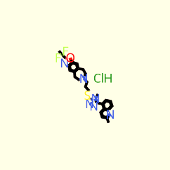 Cc1ccc2c(-c3nnc(SCCCN4CCc5cc6nc(C(C)(F)F)oc6cc5CC4)n3C)cccc2n1.Cl